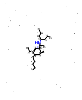 C=c1cc(CCCCC)c(CC)c/c1=C(/C)NC(CCC)CCC